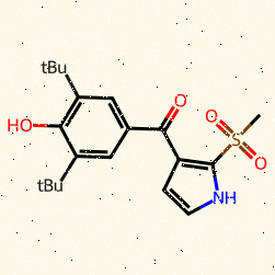 CC(C)(C)c1cc(C(=O)c2cc[nH]c2S(C)(=O)=O)cc(C(C)(C)C)c1O